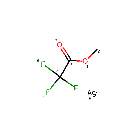 COC(=O)C(F)(F)F.[Ag]